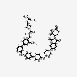 Cc1cc(-c2ccnc(Nc3ccc(N4CCC(CN5CCN(c6ccc7c(c6)C(=O)N(C6CCC(=O)NC6=O)C7=O)CC5)CC4)cc3)n2)ccc1CNC(=O)N1CC(OC(C)C)C1